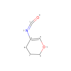 O=C=NC1=COCCC1